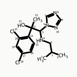 CC(C)CNC(n1cncn1)C(C)(O)c1ccc(Cl)cc1Cl